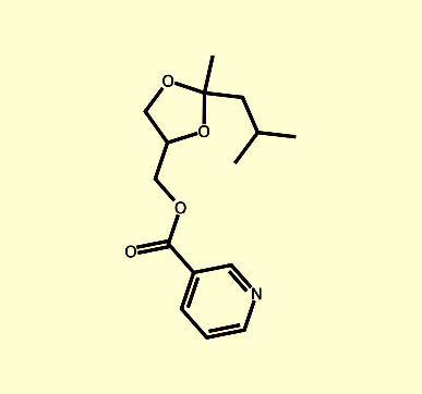 CC(C)CC1(C)OCC(COC(=O)c2cccnc2)O1